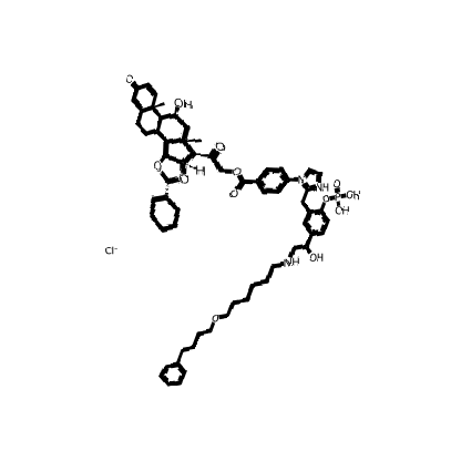 C[C@]12C=CC(=O)C=C1CCC1C2[C@@H](O)C[C@@]2(C)C1C1O[C@@H](C3CCCCC3)O[C@@H]1[C@@H]2C(=O)COC(=O)c1ccc(-[n+]2cc[nH]c2Cc2cc(C(O)CNCCCCCCOCCCCc3ccccc3)ccc2OP(=O)(O)O)cc1.[Cl-]